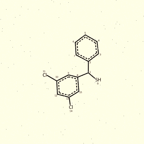 SC(c1ccccc1)c1cc(Cl)cc(Cl)c1